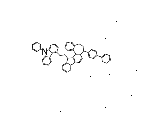 C1=CCCC(c2ccc(C3CCc4ccccc4-c4c3ccc3c4C(CCc4cccc5c4c4ccccc4n5-c4ccccc4)c4ccccc4-3)cc2)=C1